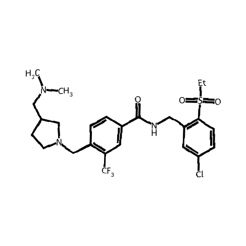 CCS(=O)(=O)c1ccc(Cl)cc1CNC(=O)c1ccc(CN2CCC(CN(C)C)C2)c(C(F)(F)F)c1